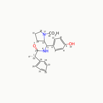 C[C@H](C(=O)NC(c1ccc(O)cc1)C1CCCN1C(=O)O)c1ccccc1